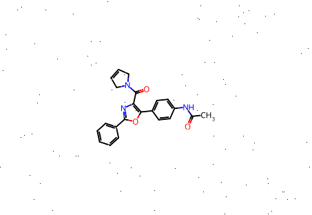 CC(=O)Nc1ccc(-c2oc(-c3ccccc3)nc2C(=O)N2CC=CC2)cc1